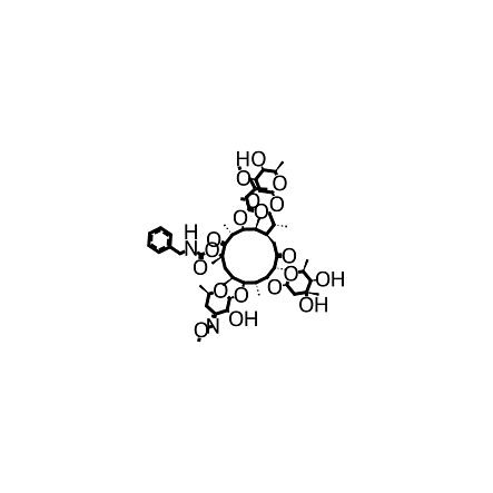 CON=C1C[C@@H](C)O[C@@H](O[C@@H]2[C@@H](C)[C@H](O[C@H]3C[C@@](C)(O)[C@@H](O)[C@H](C)O3)[C@@H](C)C(=O)C[C@H]([C@@H](C)CO[C@@H]3O[C@H](C)[C@@H](O)[C@@H](OC)[C@H]3OC)[C@H](C)[C@@H](OC(=O)CC(C)C)[C@@H](C)C(=O)[C@@](C)(OC(=O)NCc3ccccc3)C[C@@H]2C)[C@@H]1O